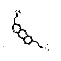 C=CCc1ccc2cc3ccc(CC=C)cc3cc2c1